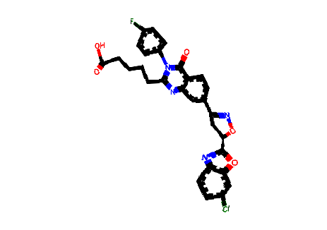 O=C(O)CCCCc1nc2cc(C3=NO[C@@H](c4nc5ccc(Cl)cc5o4)C3)ccc2c(=O)n1-c1ccc(F)cc1